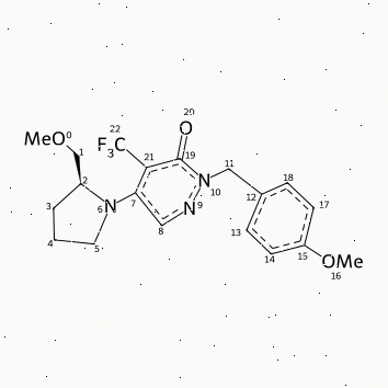 COC[C@@H]1CCCN1c1cnn(Cc2ccc(OC)cc2)c(=O)c1C(F)(F)F